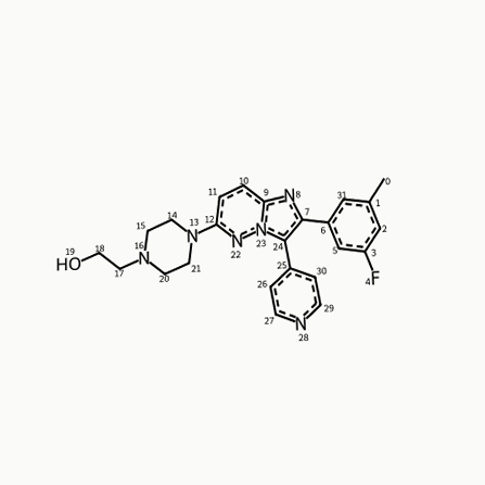 Cc1cc(F)cc(-c2nc3ccc(N4CCN(CCO)CC4)nn3c2-c2ccncc2)c1